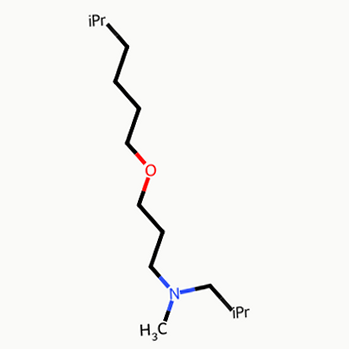 CC(C)CCCCOCCCN(C)CC(C)C